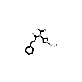 O=C(Cl)N(C(=O)OCc1ccccc1)C1CN(S(=O)(=O)O)C1